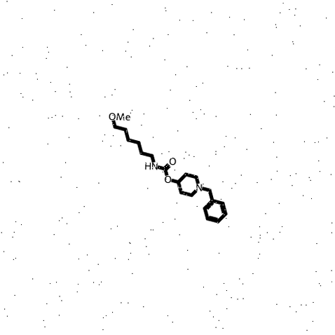 COCCCCCCNC(=O)OC1CCN(Cc2ccccc2)CC1